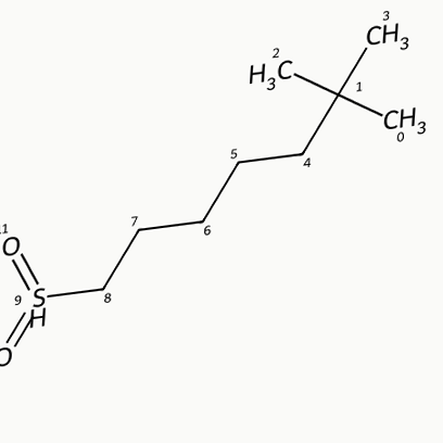 CC(C)(C)CCCCC[SH](=O)=O